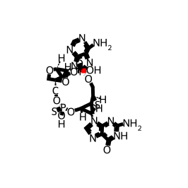 C[C@H]1[C@H]2OP(O)(=S)OC[C@@]34CO[C@@H]([C@H](n5cnc6c(N)ncnc65)O3)[C@@H]4OP(=O)(O)OC[C@H]1S[C@H]2n1cnc2c(=O)[nH]c(N)nc21